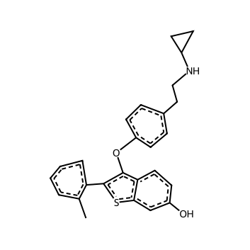 Cc1ccccc1-c1sc2cc(O)ccc2c1Oc1ccc(CCNC2CC2)cc1